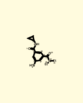 Bc1cc(C(=O)NC2CC2)cc(C(=O)N(CC)CC)c1